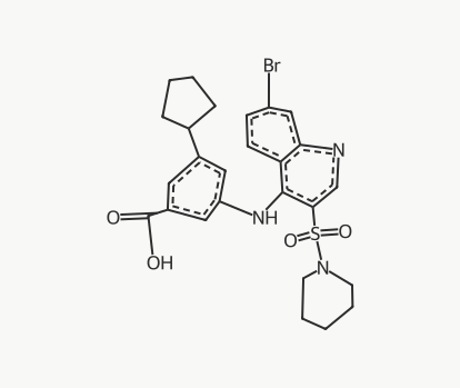 O=C(O)c1cc(Nc2c(S(=O)(=O)N3CCCCC3)cnc3cc(Br)ccc23)cc(C2CCCC2)c1